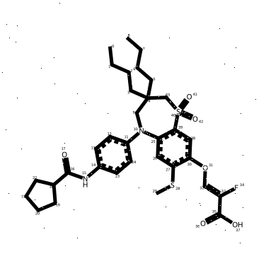 CCCCC1(CCCC)CN(c2ccc(NC(=O)C3CCCC3)cc2)c2cc(SC)c(OC=C(F)C(=O)O)cc2S(=O)(=O)C1